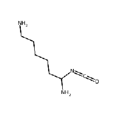 NCCCCCC(N)N=C=O